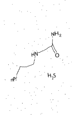 CCCCCNC(N)=O.S